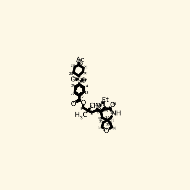 CCn1nc(CC(C)(C)COC(=O)c2ccc(S(=O)(=O)C3CCC(C(C)=O)CC3)cc2)c2c1C(=O)NCC1(CCOCC1)C2